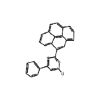 Clc1cc(-c2ccccc2)nc(-c2cc3cccc4ccc5cccc2c5c43)n1